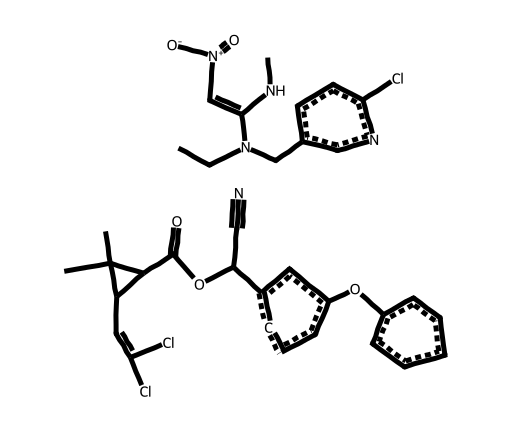 CC1(C)C(C=C(Cl)Cl)C1C(=O)OC(C#N)c1cccc(Oc2ccccc2)c1.CCN(Cc1ccc(Cl)nc1)/C(=C/[N+](=O)[O-])NC